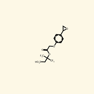 O=C(COc1ccc(C2CO2)cc1)OC(CS(=O)(=O)O)(C(F)(F)F)C(F)(F)F